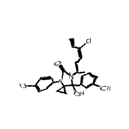 C=C/C(Cl)=C\C=C(/C)N1C(=O)N(c2ccc(Cl)cc2)C2(CC2)C1(O)c1cccc(C#N)c1